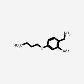 COc1cc(OCCCC(=O)O)ccc1CN